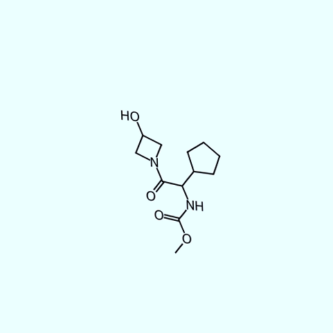 COC(=O)NC(C(=O)N1CC(O)C1)C1CCCC1